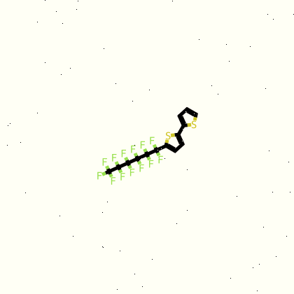 FC(F)(F)C(F)(F)C(F)(F)C(F)(F)C(F)(F)C(F)(F)c1ccc(-c2cccs2)s1